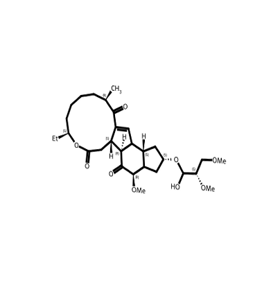 CC[C@H]1CCCC[C@@H](C)C(=O)C2=CC3[C@@H]4C[C@H](OC(O)[C@H](COC)OC)CC4[C@@H](OC)C(=O)[C@H]3[C@@H]2CC(=O)O1